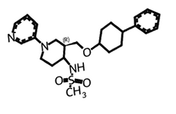 CS(=O)(=O)NC1CCN(c2cccnc2)C[C@H]1COC1CCC(c2ccccc2)CC1